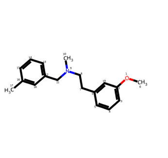 COc1cccc(CCN(C)Cc2cccc(C)c2)c1